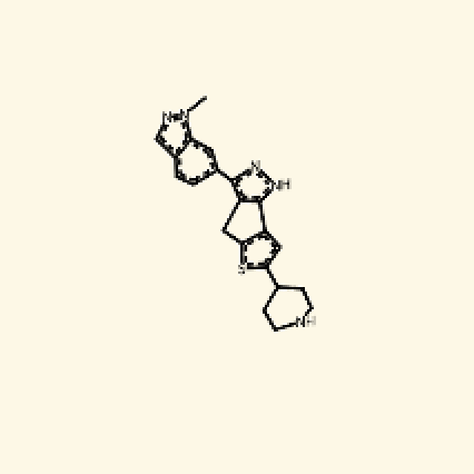 Cn1ncc2ccc(-c3n[nH]c4c3Cc3sc(C5CCNCC5)cc3-4)cc21